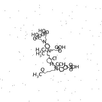 CC(=O)CCCCCN1/C(=C/C=C2\CCCC(/C=C/C3=[N+](CCCS(=O)(=O)O)c4ccc(N(CCCS(=O)(=O)O)CCCS(=O)(=O)O)cc4C3(C)C)=C2Cl)C(C)(C)c2c1ccc1cc(S(=O)(=O)O)ccc21